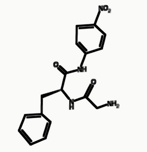 NCC(=O)N[C@@H](Cc1ccccc1)C(=O)Nc1ccc([N+](=O)[O-])cc1